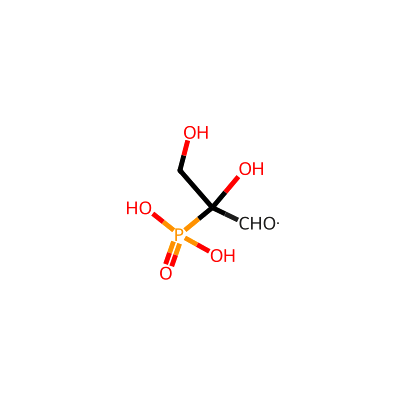 O=[C]C(O)(CO)P(=O)(O)O